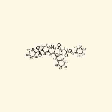 O=C(CNC(=O)c1nc2ccc(S(=O)(=O)c3ccccc3)cc2cc1OCc1ccccc1)OCc1ccccc1